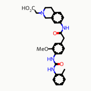 COc1cc(CC(=O)Nc2ccc3c(c2)CN(CC(=O)O)CC3)ccc1NC(=O)Nc1ccccc1C